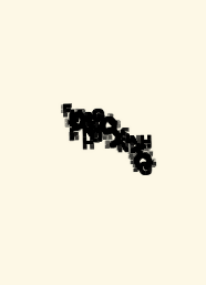 COc1ccc(-c2sc(NC(C)(C)C3CCOCC3)nc2C)cc1S(=O)(=O)Nc1c(C)cc(F)cc1F